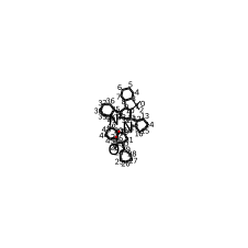 CC1(C)c2ccccc2-c2c1c1c3ccccc3n(-c3ccc4oc5ccccc5c4c3)c1c1c2c2ccccc2n1-c1ccccc1